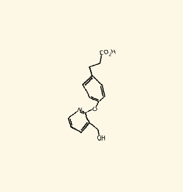 O=C(O)CCc1ccc(Oc2ncccc2CO)cc1